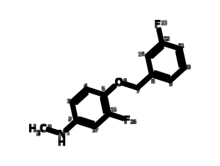 CNc1ccc(OCc2cccc(F)c2)c(F)c1